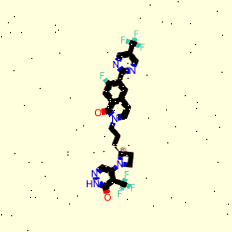 O=c1[nH]ncc(N2CC[C@H]2CCCn2ccc3cc(-c4ncc(C(F)(F)F)cn4)c(F)cc3c2=O)c1C(F)(F)F